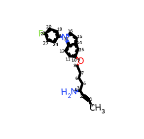 CC#CC(N)CCCCOc1ccc2c(ccn2-c2ccc(F)cc2)c1